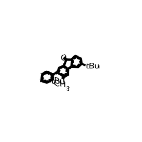 Cc1ccccc1-c1cc2c(cc1C(C)(C)C)-c1cc(C(C)(C)C)ccc1C2=O